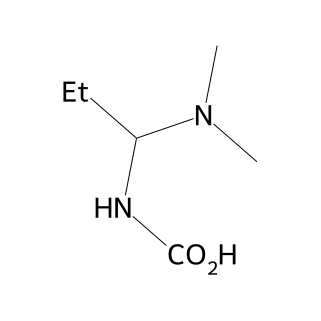 CCC(NC(=O)O)N(C)C